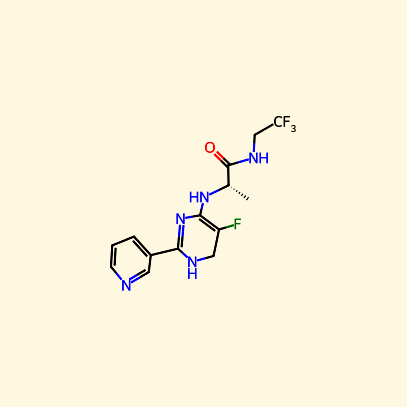 C[C@H](NC1=C(F)CNC(c2cccnc2)=N1)C(=O)NCC(F)(F)F